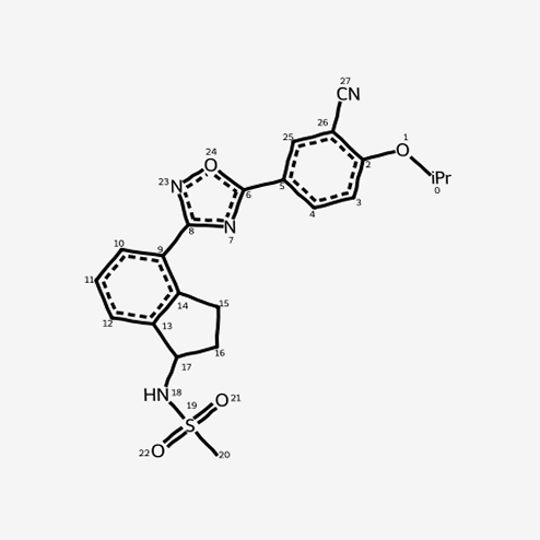 CC(C)Oc1ccc(-c2nc(-c3cccc4c3CCC4NS(C)(=O)=O)no2)cc1C#N